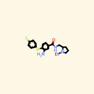 CCN1CCCC1CNC(=O)c1ccc(Sc2ccc(F)cc2)c(N)c1